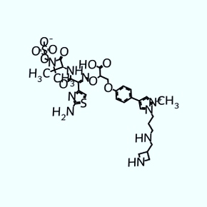 C[n+]1cc(-c2ccc(OCC(O/N=C(/C(=O)N[C@@H]3C(=O)N(OS(=O)(=O)[O-])C3(C)C)c3csc(N)n3)C(=O)O)cc2)cn1CCCNCC1CNC1